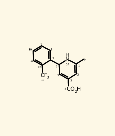 CC1=CC(C(=O)O)=CC(c2ccccc2C(F)(F)F)N1